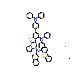 c1ccc(N(c2ccccc2)c2ccc(-c3cc(N(c4ccccc4)c4ccccc4)c4c(c3)oc3c5ccccc5c(N(c5ccc6ccccc6c5)c5cccc6c5sc5ccccc56)cc34)cc2)cc1